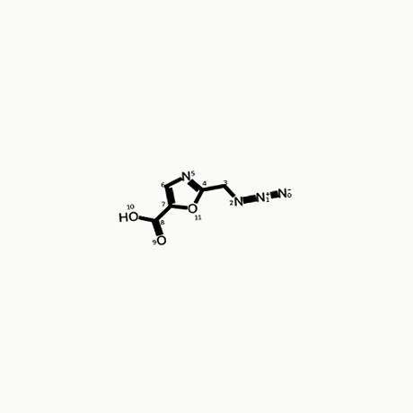 [N-]=[N+]=NCc1ncc(C(=O)O)o1